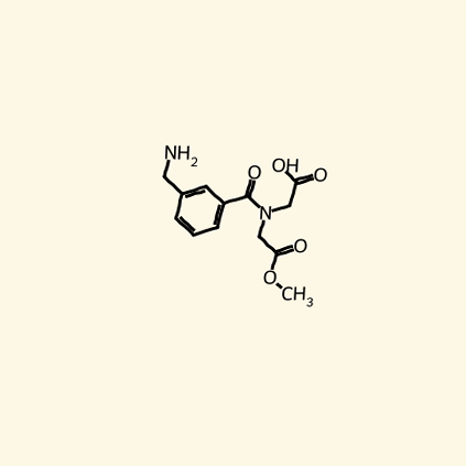 COC(=O)CN(CC(=O)O)C(=O)c1cccc(CN)c1